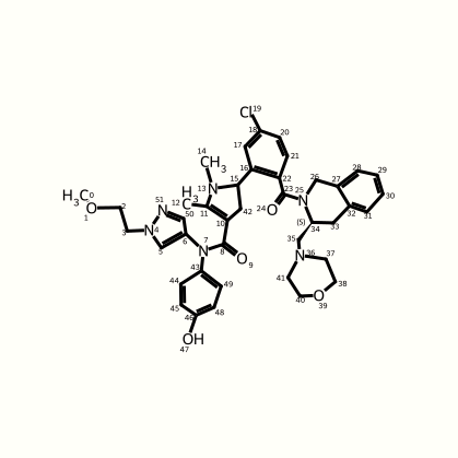 COCCn1cc(N(C(=O)C2=C(C)N(C)C(c3cc(Cl)ccc3C(=O)N3Cc4ccccc4C[C@H]3CN3CCOCC3)C2)c2ccc(O)cc2)cn1